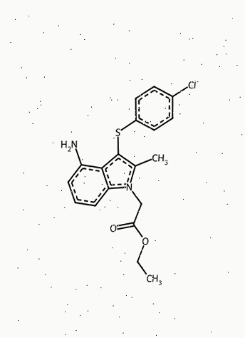 CCOC(=O)Cn1c(C)c(Sc2ccc(Cl)cc2)c2c(N)cccc21